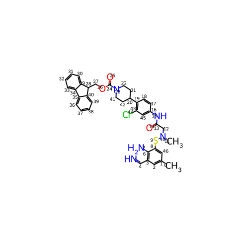 Cc1cc(C=N)c(N)c(SN(C)CC(=O)Nc2ccc(C3CCN(C(=O)OCC4c5ccccc5-c5ccccc54)CC3)c(Cl)c2)c1